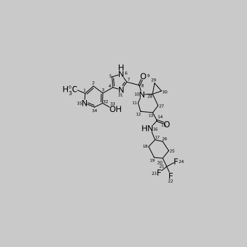 Cc1cc(-c2c[nH]c(C(=O)N3CCC(C(=O)NC4CCC(C(F)(F)F)CC4)CC34CC4)n2)c(O)cn1